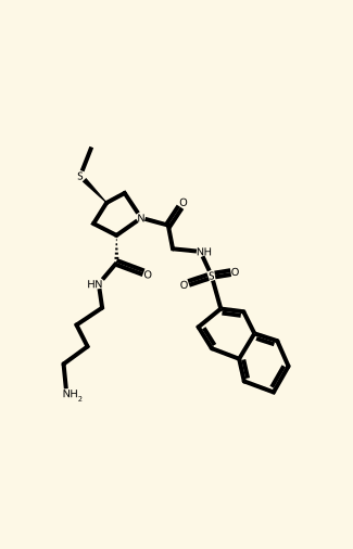 CS[C@@H]1C[C@@H](C(=O)NCCCCN)N(C(=O)CNS(=O)(=O)c2ccc3ccccc3c2)C1